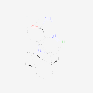 CO[C@]1(c2ccnc(C(N)=O)c2)[C@@H]2CCC[C@H]1CN(C1CCC(F)(F)CC1)C2.Cl